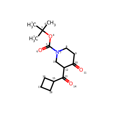 CC(C)(C)OC(=O)N1CCC(=O)C(C(=O)C2CCC2)C1